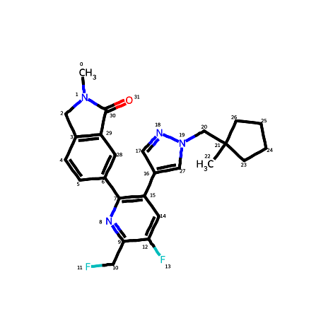 CN1Cc2ccc(-c3nc(CF)c(F)cc3-c3cnn(CC4(C)CCCC4)c3)cc2C1=O